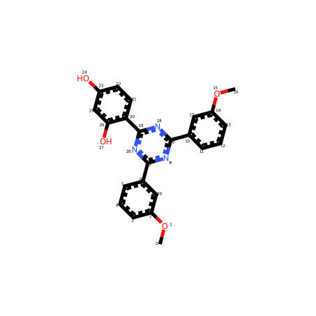 COc1cccc(-c2nc(-c3cccc(OC)c3)nc(-c3ccc(O)cc3O)n2)c1